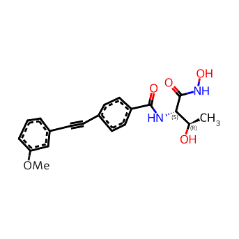 COc1cccc(C#Cc2ccc(C(=O)N[C@H](C(=O)NO)[C@@H](C)O)cc2)c1